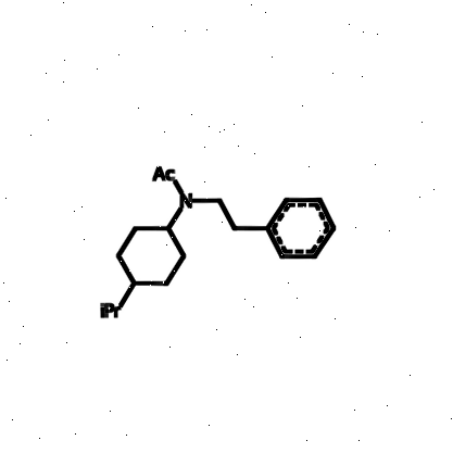 CC(=O)N(CCc1ccccc1)C1CCC(C(C)C)CC1